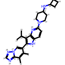 Cc1c(-c2[nH]c3ccc(N4CCC(NC5CCC5)CC4)nc3c2C(C)C)cn2ncnc2c1C